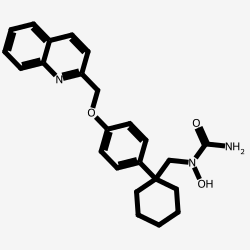 NC(=O)N(O)CC1(c2ccc(OCc3ccc4ccccc4n3)cc2)CCCCC1